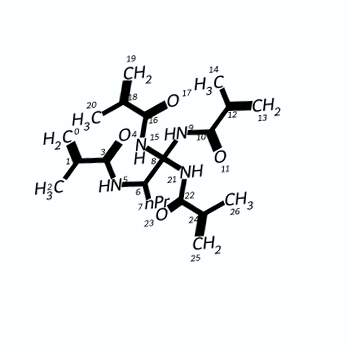 C=C(C)C(=O)NC(CCC)C(NC(=O)C(=C)C)(NC(=O)C(=C)C)NC(=O)C(=C)C